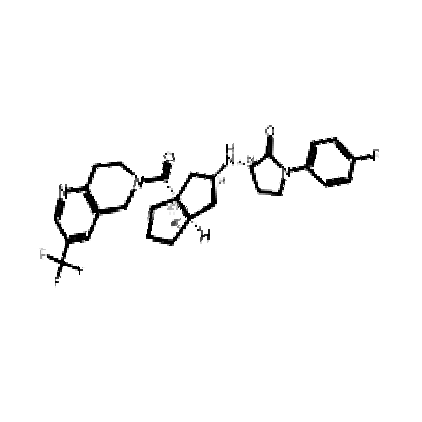 O=C1[C@@H](N[C@H]2C[C@H]3CCC[C@@]3(C(=O)N3CCc4ncc(C(F)(F)F)cc4C3)C2)CCN1c1ccc(F)cc1